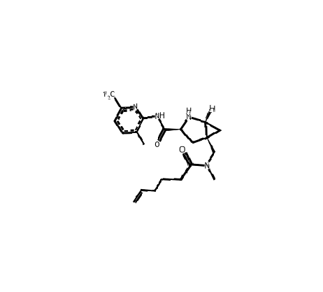 C=CCCCC(=O)N(C)C[C@@]12C[C@@H](C(=O)Nc3nc(C(F)(F)F)ccc3C)N[C@@H]1C2